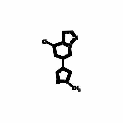 Cn1cc(-c2cc(Cl)c3ccnn3c2)cn1